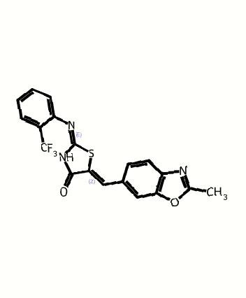 Cc1nc2ccc(/C=C3\S/C(=N/c4ccccc4C(F)(F)F)NC3=O)cc2o1